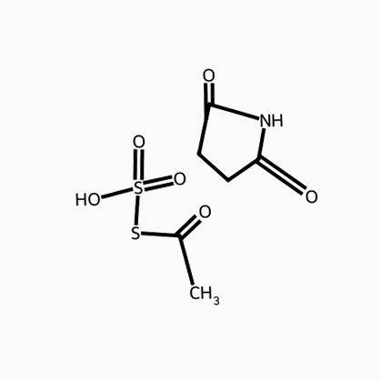 CC(=O)SS(=O)(=O)O.O=C1CCC(=O)N1